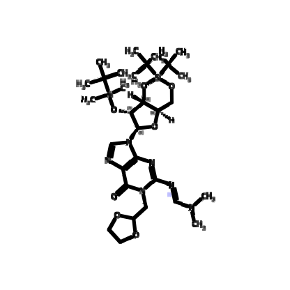 CN(C)/C=N/c1nc2c(ncn2[C@@H]2O[C@@H]3CO[Si](C(C)(C)C)(C(C)(C)C)O[C@H]3[C@H]2O[Si](C)(C)C(C)(C)C)c(=O)n1CC1OCCO1